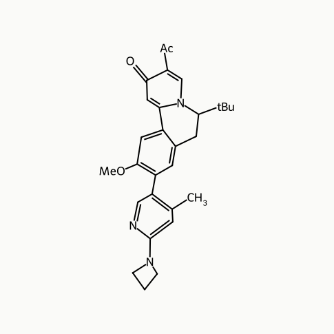 COc1cc2c(cc1-c1cnc(N3CCC3)cc1C)CC(C(C)(C)C)n1cc(C(C)=O)c(=O)cc1-2